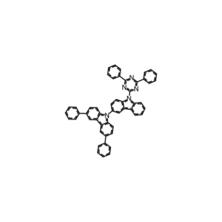 c1ccc(-c2ccc3c(c2)c2cc(-c4ccccc4)ccc2n3-c2ccc3c(c2)c2ccccc2n3-c2nc(-c3ccccc3)nc(-c3ccccc3)n2)cc1